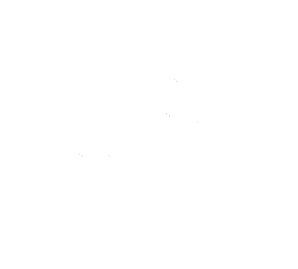 N[C@@H]1CCCC(F)(F)[C@@H]1NC(=O)c1cc(-c2cnc3ccccn23)cs1